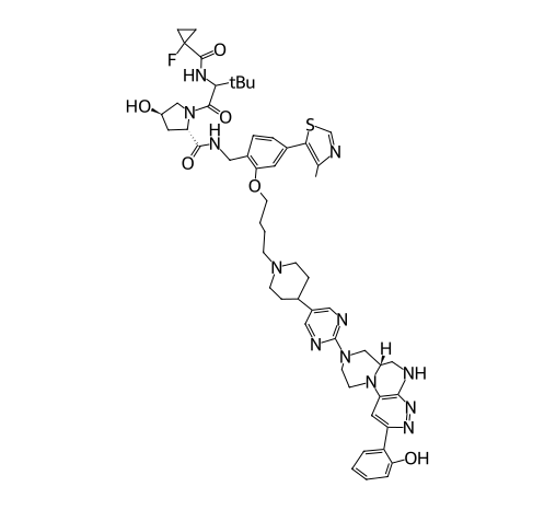 Cc1ncsc1-c1ccc(CNC(=O)[C@@H]2C[C@@H](O)CN2C(=O)C(NC(=O)C2(F)CC2)C(C)(C)C)c(OCCCCN2CCC(c3cnc(N4CCN5c6cc(-c7ccccc7O)nnc6NC[C@H]5C4)nc3)CC2)c1